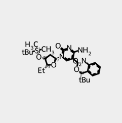 CC[C@H]1O[C@@H](n2cc(CO[C@H](c3ccccc3[N+](=O)[O-])C(C)(C)C)c(N)nc2=O)C[C@H]1O[Si](C)(C)C(C)(C)C